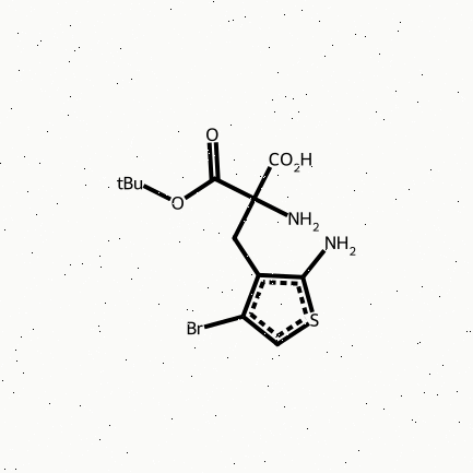 CC(C)(C)OC(=O)C(N)(Cc1c(Br)csc1N)C(=O)O